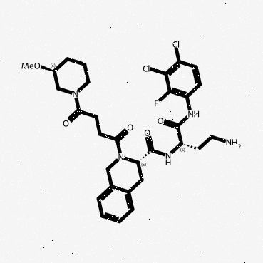 CO[C@H]1CCCN(C(=O)CCC(=O)N2Cc3ccccc3C[C@H]2C(=O)N[C@@H](CCN)C(=O)Nc2ccc(Cl)c(Cl)c2F)C1